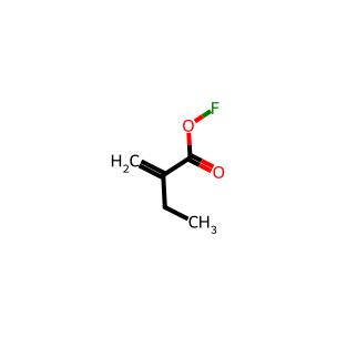 C=C(CC)C(=O)OF